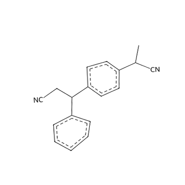 CC(C#N)c1ccc(C(CC#N)c2ccccc2)cc1